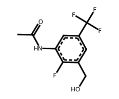 CC(=O)Nc1cc(C(F)(F)F)cc(CO)c1F